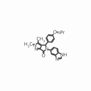 CCCOc1ccc(C2c3c(nn(C)c3C)C(=O)N2c2ccc3[nH]cnc3c2)cc1